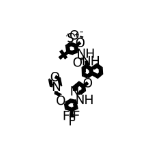 COc1c(NC(=O)Nc2ccc(Oc3ccnc(Nc4cc(OCCN5CCOCC5)cc(C(F)(F)F)c4)c3)c3ccccc23)cc(C(C)(C)C)cc1[S+](C)[O-]